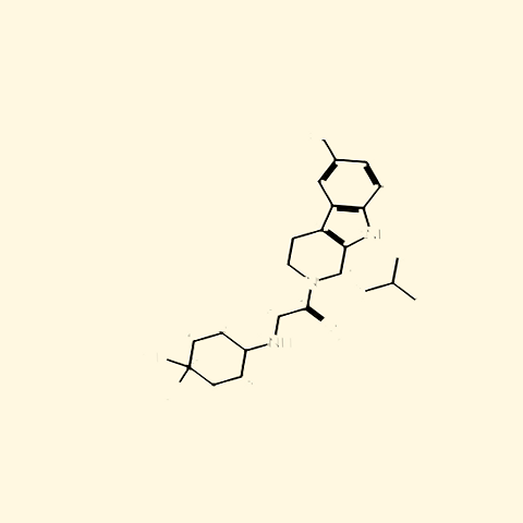 CC(C)C[C@H]1c2[nH]c3ccc(Cl)cc3c2CCN1C(=O)CNC1CCC(F)(F)CC1